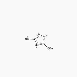 CC(C)COc1ncc(C(C)(C)C)[nH]1